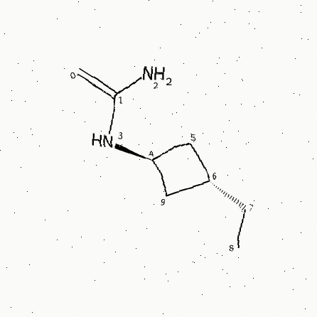 C=C(N)N[C@H]1C[C@H](CC)C1